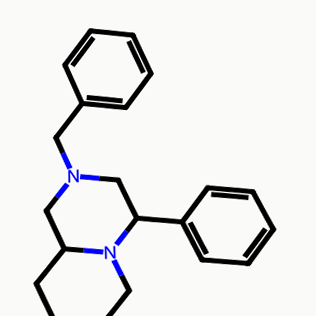 c1ccc(CN2CC3CCCCN3C(c3ccccc3)C2)cc1